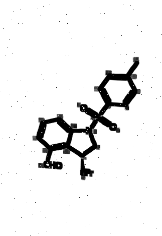 CCC[C@H]1CN(S(=O)(=O)c2ccc(C)cc2)c2cccc(C=O)c21